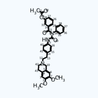 COc1cc2c(cc1OC)CN(CCc1ccc(NC(=O)N(C(=O)c3cccc(OC(C)=O)c3)c3ccccc3)cc1)CC2